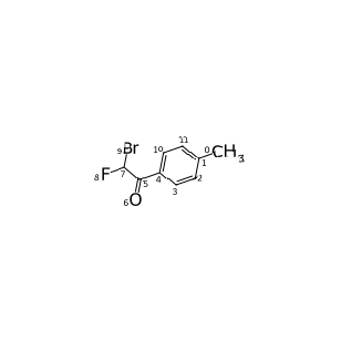 Cc1ccc(C(=O)C(F)Br)cc1